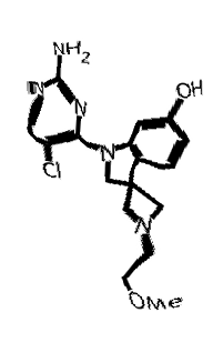 COCCN1CC2(C1)CN(c1nc(N)ncc1Cl)c1cc(O)ccc12